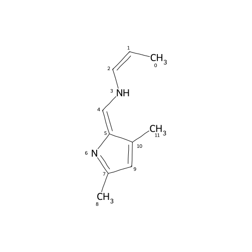 C/C=C\N/C=C1/N=C(C)C=C1C